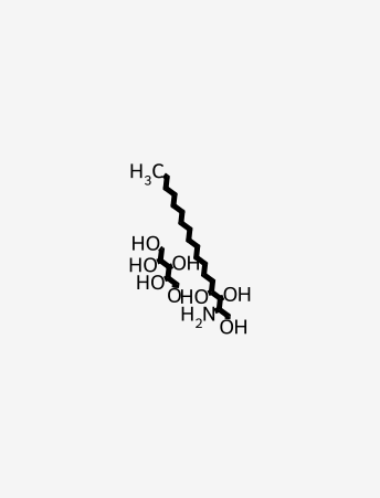 CCCCCCCCCCCCCCC(O)C(O)C(N)CO.O=CC(O)C(O)C(O)CO